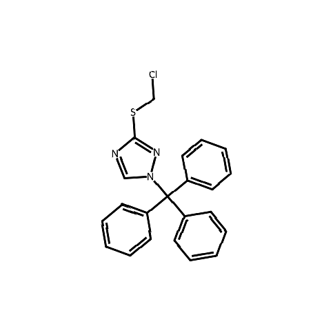 ClCSc1ncn(C(c2ccccc2)(c2ccccc2)c2ccccc2)n1